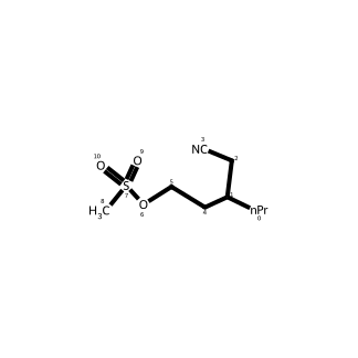 CCCC(CC#N)CCOS(C)(=O)=O